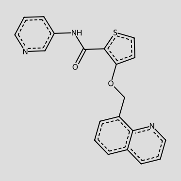 O=C(Nc1cccnc1)c1sccc1OCc1cccc2cccnc12